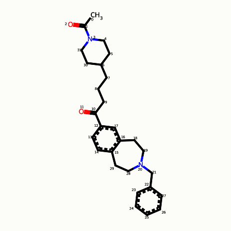 CC(=O)N1CCC(CCCC(=O)c2ccc3c(c2)CCN(Cc2ccccc2)CC3)CC1